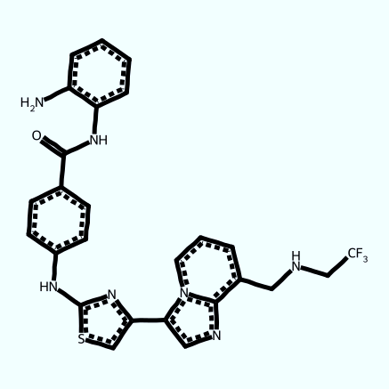 Nc1ccccc1NC(=O)c1ccc(Nc2nc(-c3cnc4c(CNCC(F)(F)F)cccn34)cs2)cc1